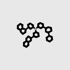 c1ccc(-c2cccc(-c3cccc(N(c4cccc(-c5ccc6ccccc6c5)c4)c4cccc(-c5cccc6ccccc56)c4)c3)c2)cc1